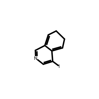 Ic1cncc2c1=CCCC=2